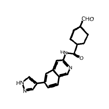 O=CC1CCC(C(=O)Nc2cc3cc(-c4cn[nH]c4)ccc3cn2)CC1